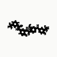 CNc1nc(Nc2ccc(C)c(C(F)(F)F)c2)ncc1C(=O)Nc1cc(NC(=O)c2cccc(C(F)(F)F)c2)ccc1C